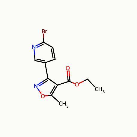 CCOC(=O)c1c(-c2ccc(Br)nc2)noc1C